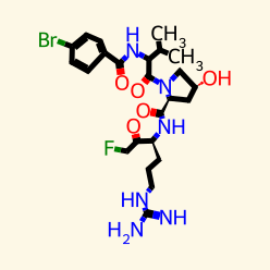 CC(C)C(NC(=O)c1ccc(Br)cc1)C(=O)N1C[C@H](O)C[C@H]1C(=O)N[C@@H](CCCNC(=N)N)C(=O)CF